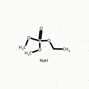 CCOP(=O)(OC)OC.[NaH]